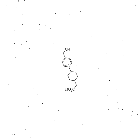 CCOC(=O)CC1CCC(c2ccc(CC#N)cc2)CC1